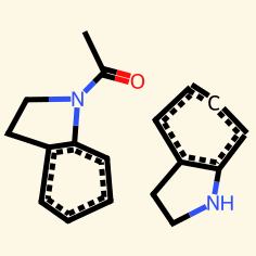 CC(=O)N1CCc2ccccc21.c1ccc2c(c1)CCN2